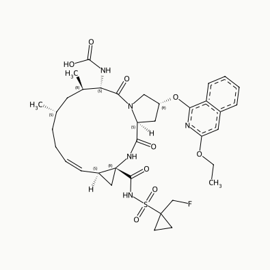 CCOc1cc2ccccc2c(O[C@@H]2C[C@H]3C(=O)N[C@]4(C(=O)NS(=O)(=O)C5(CF)CC5)C[C@H]4C=CCC[C@H](C)C[C@@H](C)[C@H](NC(=O)O)C(=O)N3C2)n1